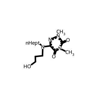 CCCCCCCN(CCCO)c1nn(C)c(=O)n(C)c1=O